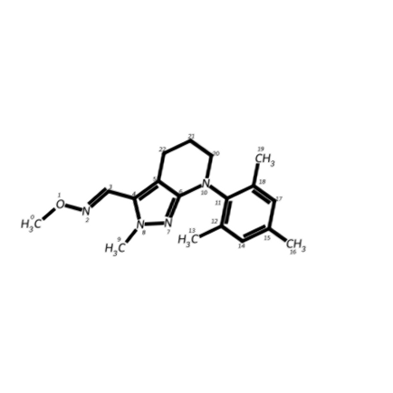 CON=Cc1c2c(nn1C)N(c1c(C)cc(C)cc1C)CCC2